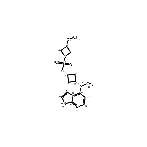 COC1CN(S(=O)(=O)C[C@H]2C[C@@H](N(C)c3ncnc4[nH]ccc34)C2)C1